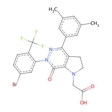 Cc1cc(C)cc(-c2nn(-c3cc(Br)ccc3C(F)(F)F)c(=O)c3c2CCN3CC(=O)O)c1